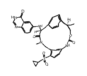 C[C@H]1COC(=O)Nc2ccc(S(=O)(=O)C3CC3)c(c2)CN(C)C(=O)[C@H](Nc2ccc3nc[nH]c(=O)c3c2)c2ccc1cc2